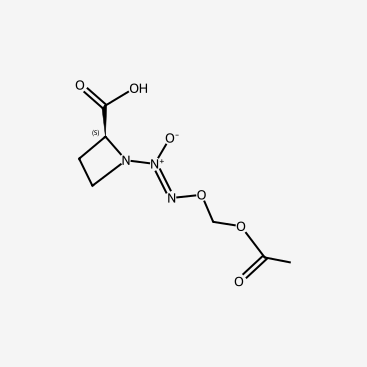 CC(=O)OCON=[N+]([O-])N1CC[C@H]1C(=O)O